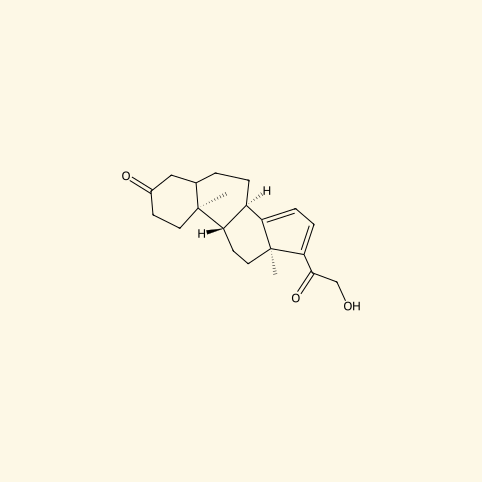 C[C@]12CC[C@H]3[C@@H](CCC4CC(=O)CC[C@@]43C)C1=CC=C2C(=O)CO